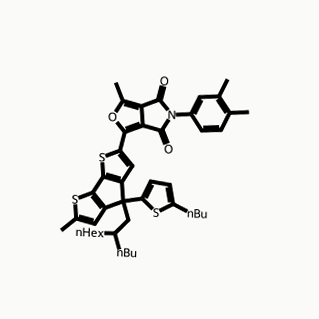 CCCCCCC(CCCC)CC1(c2ccc(CCCC)s2)c2cc(C)sc2-c2sc(-c3oc(C)c4c3C(=O)N(c3ccc(C)c(C)c3)C4=O)cc21